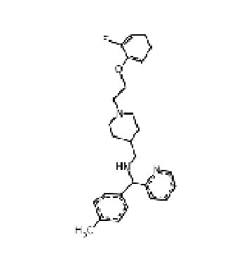 Cc1ccc(C(NCC2CCN(CCOC3=CCCC=C3F)CC2)c2ccccn2)cc1